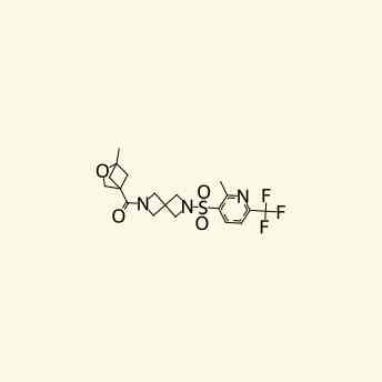 Cc1nc(C(F)(F)F)ccc1S(=O)(=O)N1CC2(CN(C(=O)C34COC(C)(C3)C4)C2)C1